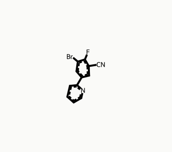 N#Cc1cc(-c2ccccn2)cc(Br)c1F